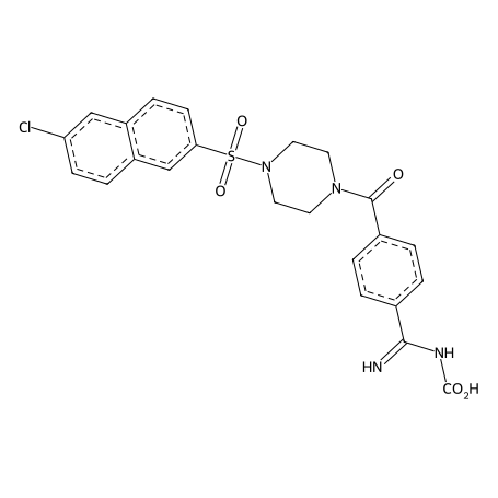 N=C(NC(=O)O)c1ccc(C(=O)N2CCN(S(=O)(=O)c3ccc4cc(Cl)ccc4c3)CC2)cc1